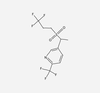 CC(c1ccc(C(F)(F)F)nc1)S(=O)(=O)CCC(F)(F)F